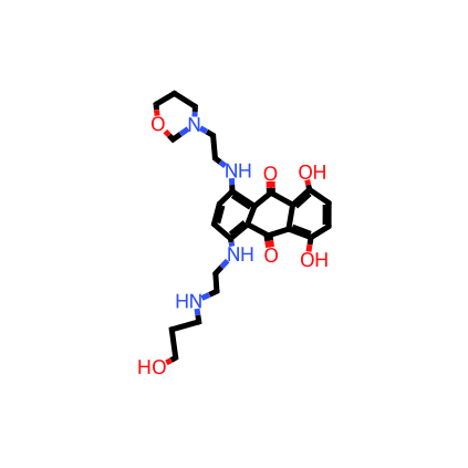 O=C1c2c(O)ccc(O)c2C(=O)c2c(NCCN3CCCOC3)ccc(NCCNCCCO)c21